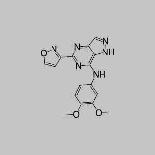 COc1ccc(Nc2nc(-c3ccon3)nc3cn[nH]c23)cc1OC